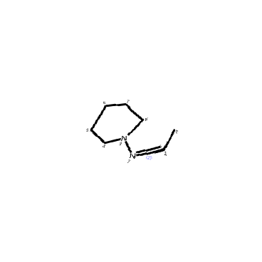 C/C=N\N1CCCCC1